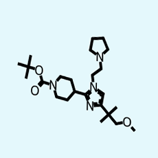 COCC(C)(C)c1cn(CCN2CCCC2)c(C2CCN(C(=O)OC(C)(C)C)CC2)n1